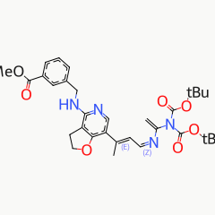 C=C(/N=C\C=C(/C)c1cnc(NCc2cccc(C(=O)OC)c2)c2c1OCC2)N(C(=O)OC(C)(C)C)C(=O)OC(C)(C)C